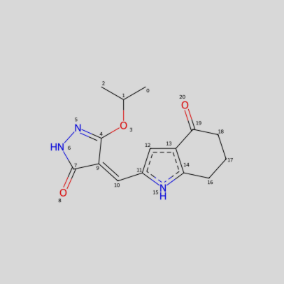 CC(C)OC1=NNC(=O)C1=Cc1cc2c([nH]1)CCCC2=O